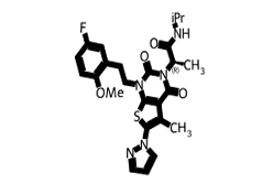 COc1ccc(F)cc1CCn1c(=O)n([C@H](C)C(=O)NC(C)C)c(=O)c2c(C)c(-n3cccn3)sc21